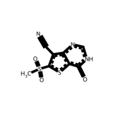 CS(=O)(=O)c1sc2c(=O)[nH]cnc2c1C#N